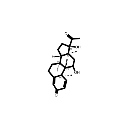 CC(=O)[C@@]1(O)CC[C@H]2[C@@H]3CCC4=CC(=O)C=C[C@]4(C)[C@@]3(F)C(O)C[C@@]21C